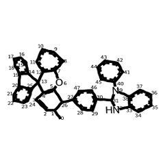 CC1C=CC2=C(Oc3ccccc3C23c2ccccc2-c2ccccc23)C1c1ccc(C2Nc3ccccc3N2c2ccccc2)cc1